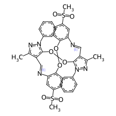 Cc1nn(-c2ccccc2)c2c1/C=N/c1cc(S(C)(=O)=O)ccc1OC1(Oc3ccc(S(C)(=O)=O)cc3/N=C/c3c(C)nn(-c4ccccc4)c3O1)O2